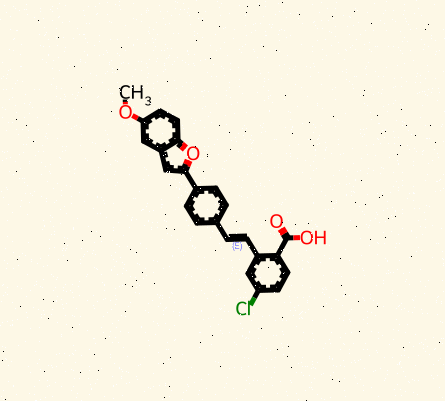 COc1ccc2oc(-c3ccc(/C=C/c4cc(Cl)ccc4C(=O)O)cc3)cc2c1